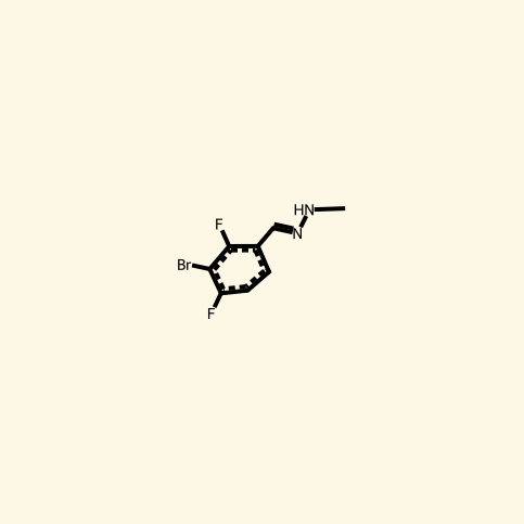 CN/N=C/c1ccc(F)c(Br)c1F